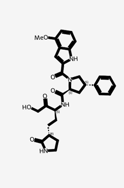 COc1cccc2[nH]c(C(=O)N3C[C@H](c4ccccc4)C[C@H]3C(=O)N[C@@H](CC[C@@H]3CCNC3=O)C(=O)CO)cc12